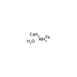 O.[AlH3].[CaH2].[Fe]